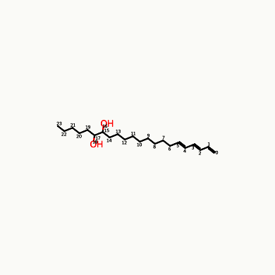 C=C/C=C/C=C/CCCCCCCCCC(O)C(O)CCCCC